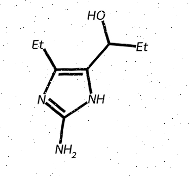 CCc1nc(N)[nH]c1C(O)CC